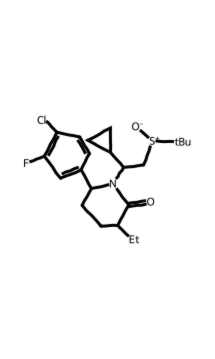 CCC1CCC(c2ccc(Cl)c(F)c2)N(C(C[S+]([O-])C(C)(C)C)C2CC2)C1=O